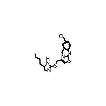 CCCCC1CN=C(SCC2=CSC3=Nc4ccc(Cl)cc4CN23)N1